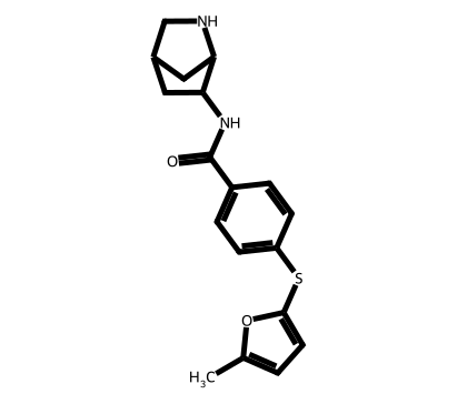 Cc1ccc(Sc2ccc(C(=O)NC3CC4CNC3C4)cc2)o1